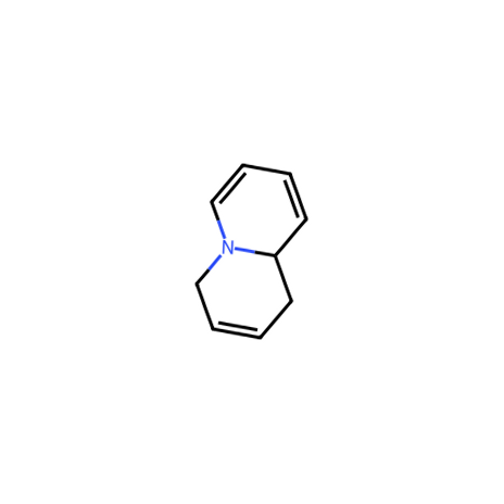 C1=CC2CC=CCN2C=C1